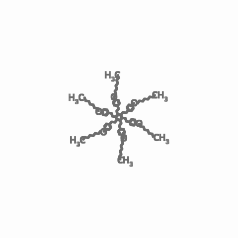 CCCCCCCCOc1ccc(CCc2c(CCc3ccc(OCCCCCCCC)cc3)c(CCc3ccc(OCCCCCCCC)cc3)c(CCc3ccc(OCCCCCCCC)cc3)c(CCc3ccc(OCCCCCCCC)cc3)c2CCc2ccc(OCCCCCCCC)cc2)cc1